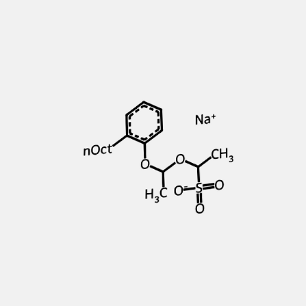 CCCCCCCCc1ccccc1OC(C)OC(C)S(=O)(=O)[O-].[Na+]